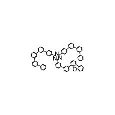 c1ccc(-c2cccc(-c3cccc(-c4ccc(-c5nc(-c6ccc(-c7cccc(-c8cccc(-c9cccc(-c%10ccccc%10)c9)c8)c7)cc6)nc(-c6cccc(-c7cccc(-c8cccc9c8oc8ccccc89)c7)c6)n5)cc4)c3)c2)cc1